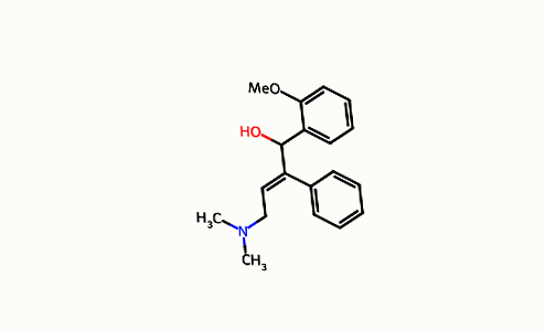 COc1ccccc1C(O)/C(=C/CN(C)C)c1ccccc1